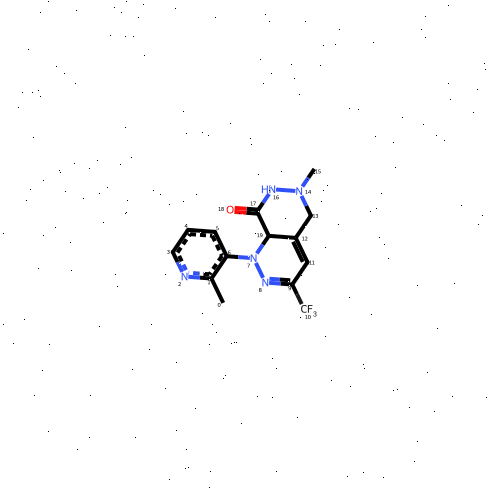 Cc1ncccc1N1N=C(C(F)(F)F)C=C2CN(C)NC(=O)C21